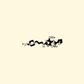 COc1nc(NCCCN2CCN(C)CC2)nc(OC)c1NC(=O)c1ccco1